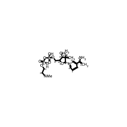 C=C(N)c1ccc[n+]([C@@H]2OC(COP(=O)(O)OP(=O)(O)OCCNC)[C@@H](O)C2(C)C)c1